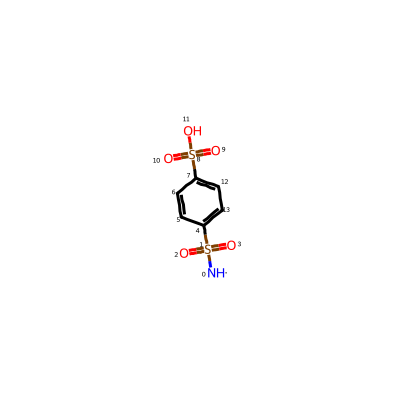 [NH]S(=O)(=O)c1ccc(S(=O)(=O)O)cc1